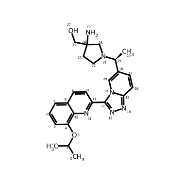 CC(C)Oc1cccc2ccc(-c3nnc4ccc([C@H](C)N5CCC(N)(CO)C5)cn34)nc12